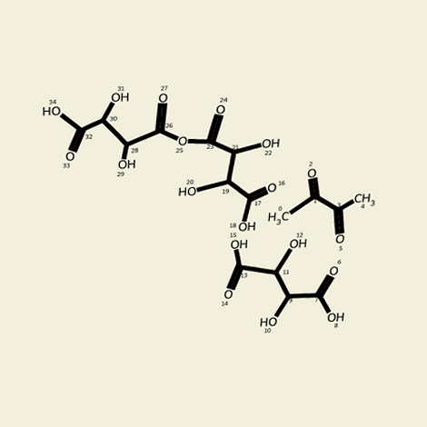 CC(=O)C(C)=O.O=C(O)C(O)C(O)C(=O)O.O=C(O)C(O)C(O)C(=O)OC(=O)C(O)C(O)C(=O)O